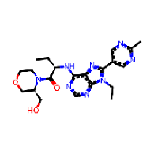 CC[C@@H](Nc1ncnc2c1nc(-c1cnc(C)nc1)n2CC)C(=O)N1CCOC[C@@H]1CO